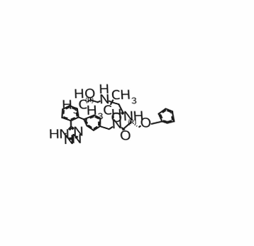 C[C@@H](O)CNC(C)(C)CC(=O)N[C@H](COCc1ccccc1)C(=O)NCc1ccc(-c2ccccc2-c2nnn[nH]2)cc1